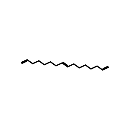 C=CCCCCCC=CCCCCCC=C